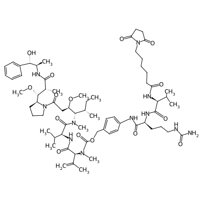 C=C(C)[C@@H](C(=O)N[C@H](C(=O)N(C)[C@@H]([C@@H](C)CC)[C@@H](CC(=O)N1CCC[C@H]1[C@H](OC)[C@@H](C)C(=O)N[C@H](C)[C@@H](O)c1ccccc1)OC)C(C)C)N(C)C(=O)OCc1ccc(NC(=O)[C@H](CCCNC(N)=O)NC(=O)[C@@H](NC(=O)CCCCCN2C(=O)CCC2=O)C(C)C)cc1